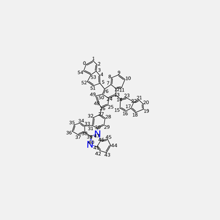 c1ccc2cc(-c3c4ccccc4c(-c4ccc5ccccc5c4)c4cc(-c5ccc6c(c5)c5ccccc5c5nc7ccccc7n65)ccc34)ccc2c1